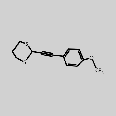 FC(F)(F)Oc1ccc(C#CC2SCCCS2)cc1